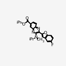 CC(C)OC(=O)c1ccc2nc(-c3cc4cc(F)ccc4o3)c(N(C)C(C)C)nc2c1